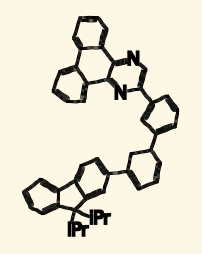 CC(C)C1(C(C)C)c2ccccc2-c2ccc(C3=CC=CC(c4cccc(-c5cnc6c7ccccc7c7ccccc7c6n5)c4)C3)cc21